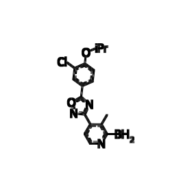 Bc1nccc(-c2noc(-c3ccc(OC(C)C)c(Cl)c3)n2)c1C